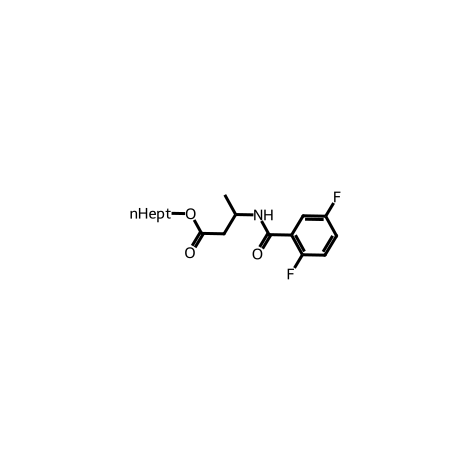 CCCCCCCOC(=O)CC(C)NC(=O)c1cc(F)ccc1F